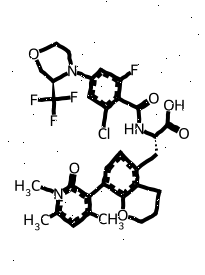 Cc1cc(C)n(C)c(=O)c1-c1ccc(C[C@H](NC(=O)c2c(F)cc(N3CCOC[C@@H]3C(F)(F)F)cc2Cl)C(=O)O)c2c1OCCC2